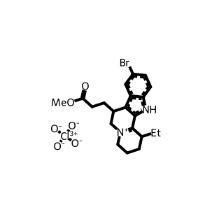 CCC1CCC[N+]2=C1c1[nH]c3ccc(Br)cc3c1C(CCC(=O)OC)C2.[O-][Cl+3]([O-])([O-])[O-]